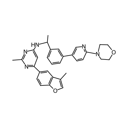 Cc1nc(NC(C)c2cccc(-c3ccc(N4CCOCC4)nc3)c2)cc(-c2ccc3occ(C)c3c2)n1